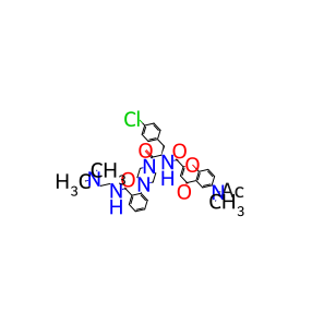 CC(=O)N(C)c1ccc2oc(C(=O)N[C@H](Cc3ccc(Cl)cc3)C(=O)N3CCN(c4ccccc4C(=O)NCCN(C)C)CC3)cc(=O)c2c1